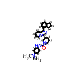 CN(C)c1ccc(NC(=O)N2CCC[C@@H](c3nc(-c4cccc5c4CCC5)c4ccccn34)C2)cc1